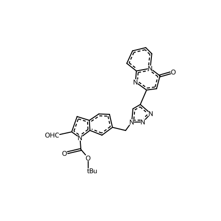 CC(C)(C)OC(=O)n1c(C=O)cc2ccc(Cn3cc(-c4cc(=O)n5ccccc5n4)nn3)cc21